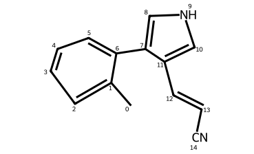 Cc1ccccc1-c1c[nH]cc1/C=C/C#N